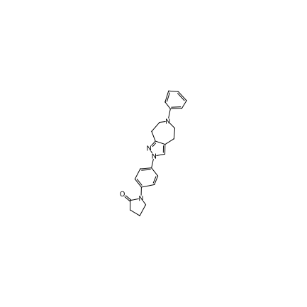 O=C1CCCN1c1ccc(-n2cc3c(n2)CCN(c2ccccc2)CC3)cc1